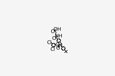 CC(C)(C)c1ccc(N(Cc2ccc(C(=O)NCCC(=O)O)cc2)C(=O)Oc2cc(Cl)cc(Cl)c2)cc1